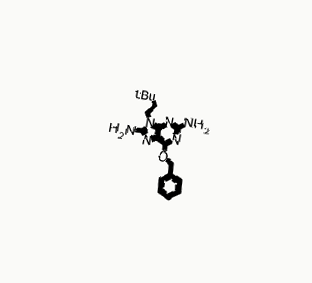 CC(C)(C)CCn1c(N)nc2c(OCc3ccccc3)nc(N)nc21